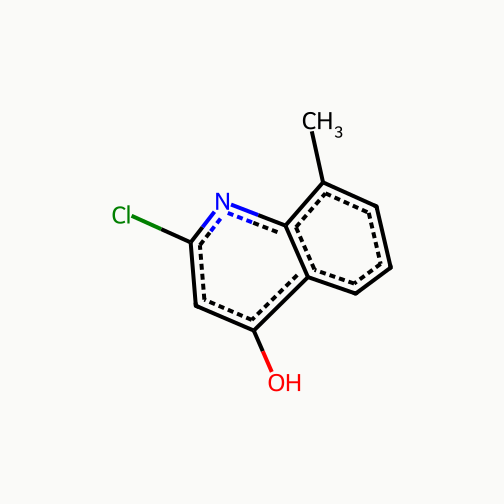 Cc1cccc2c(O)cc(Cl)nc12